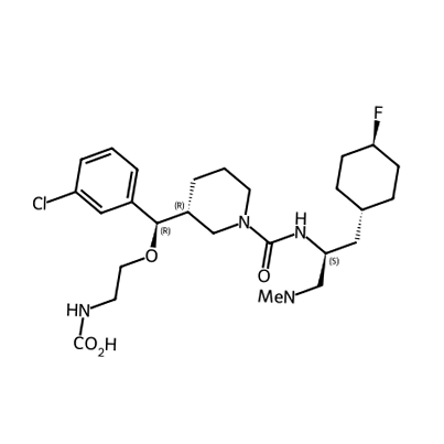 CNC[C@H](C[C@H]1CC[C@H](F)CC1)NC(=O)N1CCC[C@@H]([C@@H](OCCNC(=O)O)c2cccc(Cl)c2)C1